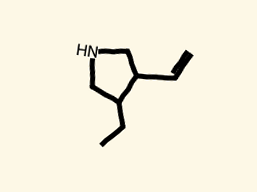 C=CC1CNCC1CC